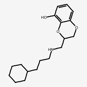 Oc1cccc2c1OC(CNCCCC1CCCCC1)CO2